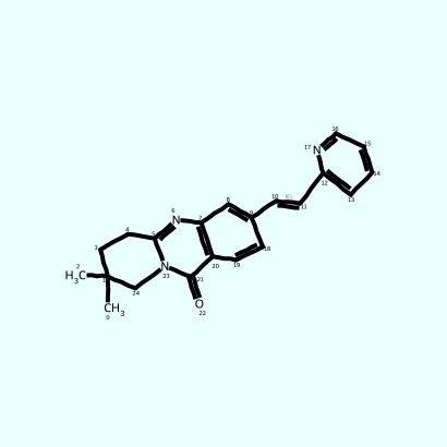 CC1(C)CCc2nc3cc(/C=C/c4ccccn4)ccc3c(=O)n2C1